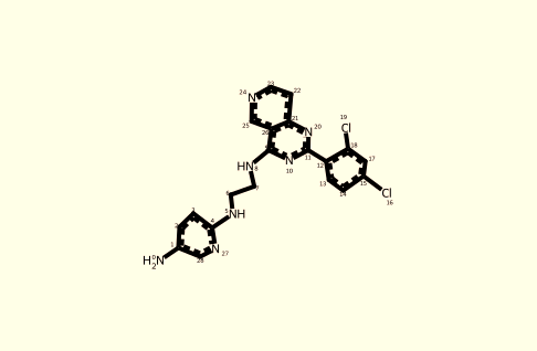 Nc1ccc(NCCNc2nc(-c3ccc(Cl)cc3Cl)nc3ccncc23)nc1